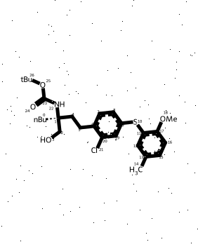 CCCC[C@@](CO)(CCc1ccc(Sc2cc(C)ccc2OC)cc1Cl)NC(=O)OC(C)(C)C